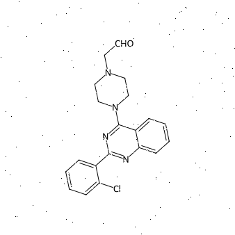 O=CCN1CCN(c2nc(-c3ccccc3Cl)nc3ccccc23)CC1